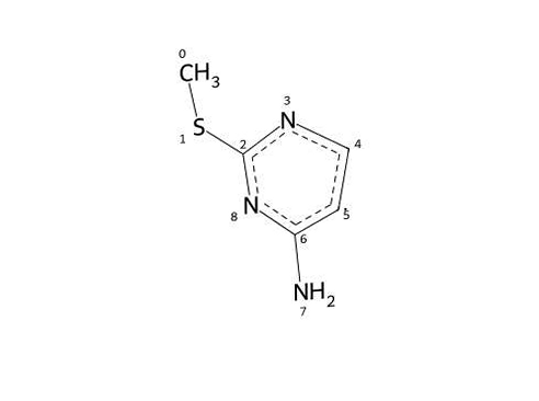 CSc1nc[c]c(N)n1